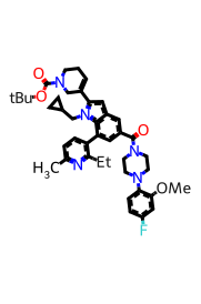 CCc1nc(C)ccc1-c1cc(C(=O)N2CCN(c3ccc(F)cc3OC)CC2)cc2cc(C3=CCCN(C(=O)OC(C)(C)C)C3)n(CC3CC3)c12